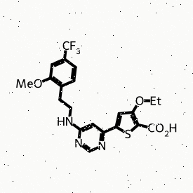 CCOc1cc(-c2cc(NCCc3ccc(C(F)(F)F)cc3OC)ncn2)sc1C(=O)O